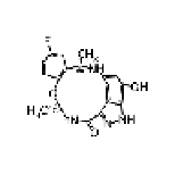 C[C@H]1CNC(=O)c2n[nH]c3c(O)cc(cc23)N[C@H](C)c2cc(F)ccc2O1